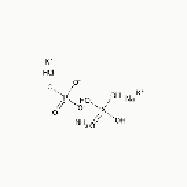 Cl.N.O=P(O)(O)O.O=P([O-])([O-])[O-].[K+].[K+].[Na+]